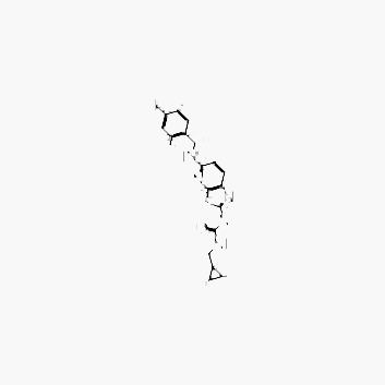 O=C(NCC1CC1)Nc1nc2ccc(NCc3ccc(Cl)cc3F)nc2s1